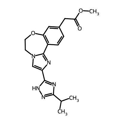 COC(=O)Cc1ccc2c(c1)OCCn1cc(-c3nc(C(C)C)n[nH]3)nc1-2